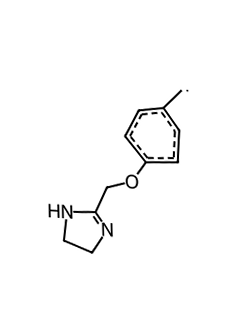 [CH2]c1ccc(OCC2=NCCN2)cc1